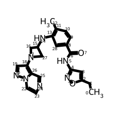 CCc1cc(NC(=O)c2ccc(C)c(NC3CN(c4cnn5ccncc45)C3)c2)no1